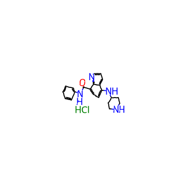 Cl.O=C(Nc1ccccc1)c1ccc(NC2CCNCC2)c2cccnc12